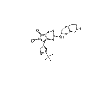 CC(C)(C)c1cc(-n2c3nc(Nc4ccc5c(c4)CNCC5)ncc3c(=O)n2C2CC2)cs1